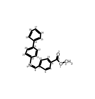 COC(=O)c1ccc(/C=N\c2ccc(-c3ccccc3)cc2)cc1